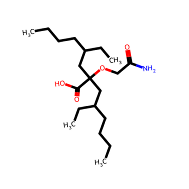 CCCCC(CC)CC(CC(CC)CCCC)(OCC(N)=O)C(=O)O